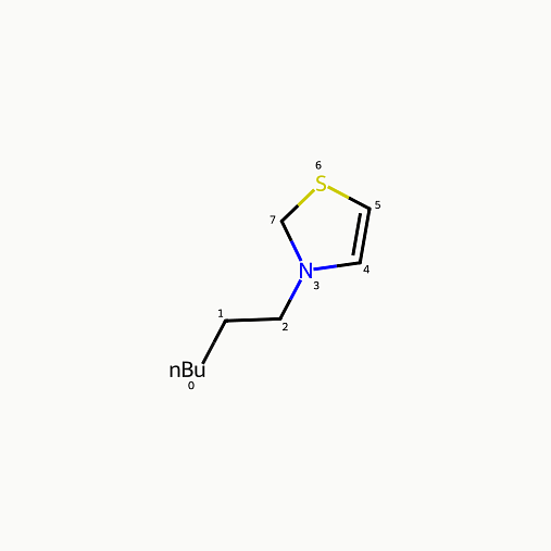 CCCCCCN1C=CSC1